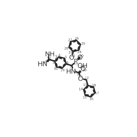 N=C(N)c1ccc(C(NC(=O)OCc2ccccc2)P(=O)(O)Oc2ccccc2)cc1